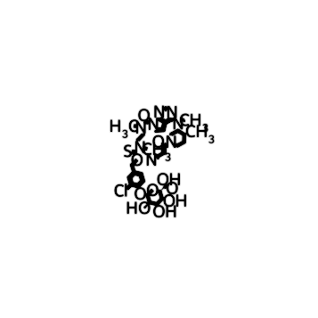 C[C@@H]1CCN(C(=O)CC#N)C[C@@H]1N(C)c1ncnc2c1ccn2C(=O)N(C)CCN(C)C(=S)OCc1ccc(O[C@@H]2O[C@H](C(=O)O)[C@@H](O)[C@H](O)[C@H]2O)c(Cl)c1